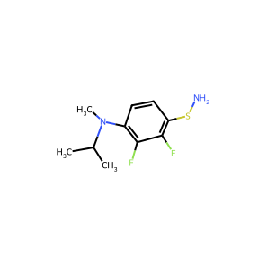 CC(C)N(C)c1ccc(SN)c(F)c1F